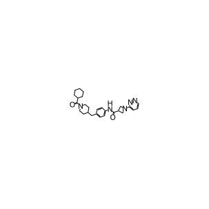 O=C(Nc1ccc(CC2CCN(C(=O)C3CCCCC3)CC2)cc1)C1CN(c2cccnn2)C1